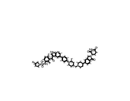 C[C@H]1C[C@@H](CN2CCC(c3ccc4c(c3)CN([C@H]3CCC(=O)NC3=O)C4=O)CC2)CCN1c1ccc(-c2cnc3[nH]cc(C(=O)c4c(F)ccc(NS(=O)(=O)N5CC[C@@H](F)C5)c4F)c3c2)cc1